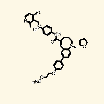 CCCCOCCOc1ccc(-c2ccc3c(c2)/C=C(/C(=O)Nc2ccc([S@+]([O-])Cc4c(CC)ccnc4C)cc2)CCCN3C[C@@H]2CCCO2)cc1